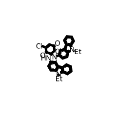 CCn1c2ccccc2c2cc(NC3(Nc4ccc5c(c4)c4ccccc4n5CC)C(=O)C(Cl)=CC(=O)C3Cl)ccc21